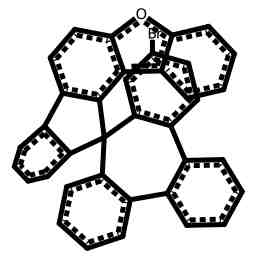 Brc1ccc2c(c1)C1(c3ccccc3-c3ccccc3-2)c2ccccc2-c2ccc3oc4ccccc4c3c21